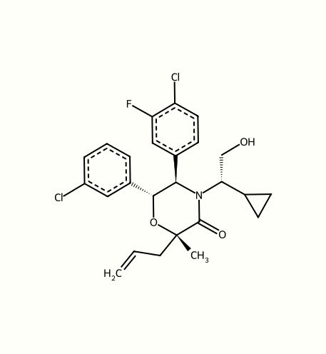 C=CC[C@]1(C)O[C@H](c2cccc(Cl)c2)[C@@H](c2ccc(Cl)c(F)c2)N([C@H](CO)C2CC2)C1=O